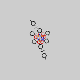 Cc1ccc(C(C)(C)c2ccc(OP3(Oc4ccccc4)=NP(Oc4ccccc4)(Oc4ccccc4)=NP(Oc4ccccc4)(Oc4ccc(C(C)(C)c5ccc(C)cc5)cc4)=N3)cc2)cc1